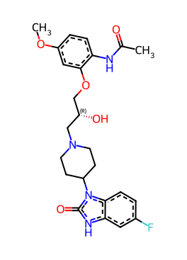 COc1ccc(NC(C)=O)c(OC[C@H](O)CN2CCC(n3c(=O)[nH]c4cc(F)ccc43)CC2)c1